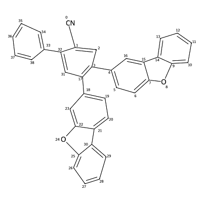 N#Cc1cc(-c2ccc3oc4ccccc4c3c2)c(-c2ccc3c(c2)oc2ccccc23)cc1-c1ccccc1